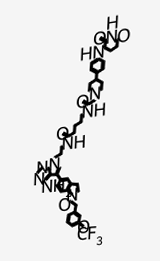 Nc1ncnc2c1c(-c1ccc3c(c1)CCN3C(=O)Cc1cccc(OC(F)(F)F)c1)cn2CCCNC(=O)CCCCNC(=O)CN1CCC(c2ccc(NC3CCC(=O)NC3=O)cc2)CC1